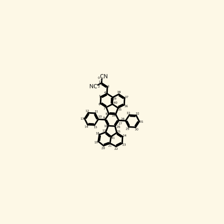 N#CC(C#N)=Cc1ccc2c3c(-c4ccccc4)c4c5cccc6cccc(c4c(-c4ccccc4)c3c3cccc1c32)c65